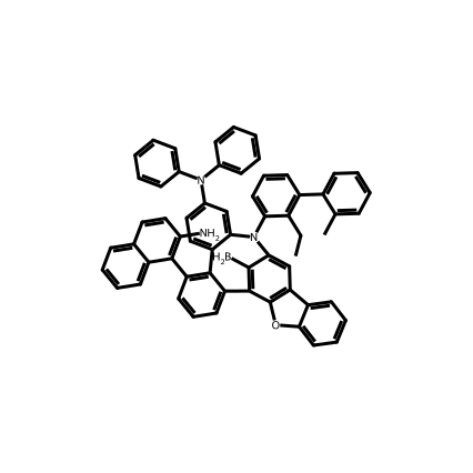 Bc1c2cc3c(oc4ccccc43)c1-c1cccc(-c3c(N)ccc4ccccc34)c1-c1ccc(N(c3ccccc3)c3ccccc3)cc1N2c1cccc(-c2ccccc2C)c1CC